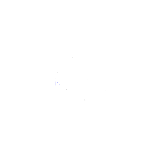 CC(=O)c1c[nH]c2ccc(F)cc12